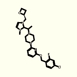 CC(C1N(C)C=CN1C[C@@H]1CCO1)N1CCN(c2cccc(OCc3ccc(Cl)cc3F)n2)CC1